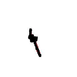 CCCCCCCCC=CCCCCCCCC(=O)C1NC(=O)N(CN(C)CCCCCCCC)C1=O